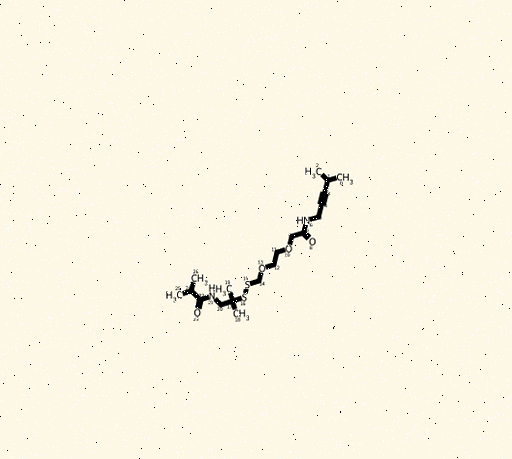 CC(C)C#CCNC(=O)COCCOCSSC(C)(C)CNC(=O)C(C)C